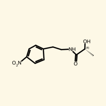 C[C@@H](O)C(=O)NCCc1ccc([N+](=O)[O-])cc1